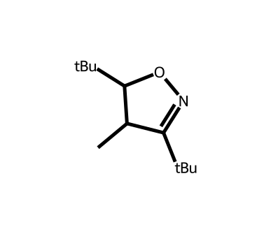 CC1C(C(C)(C)C)=NOC1C(C)(C)C